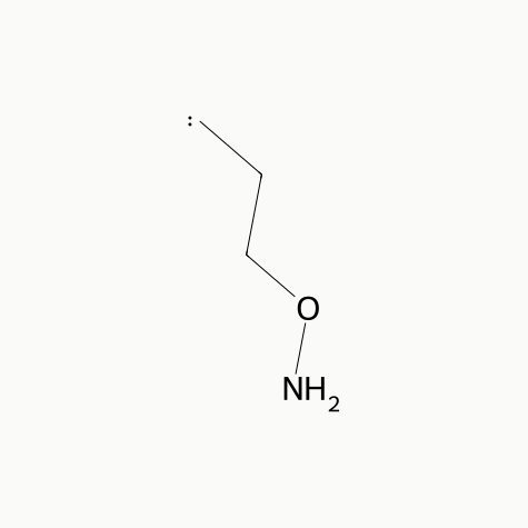 [CH]CCON